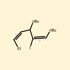 CC/C=C\C(CCCC)/C(I)=C\CCCC